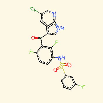 O=C(c1c(F)ccc(NS(=O)(=O)c2cccc(F)c2)c1F)c1c[nH]c2ncc(Cl)cc12